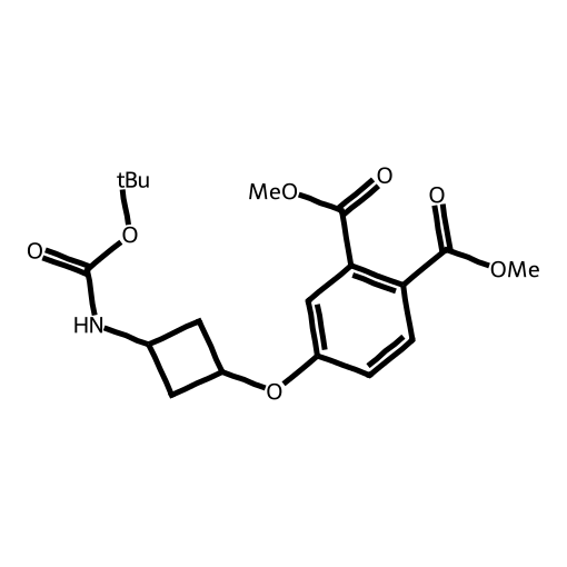 COC(=O)c1ccc(OC2CC(NC(=O)OC(C)(C)C)C2)cc1C(=O)OC